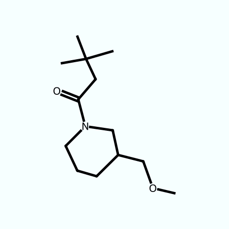 COCC1CCCN(C(=O)CC(C)(C)C)C1